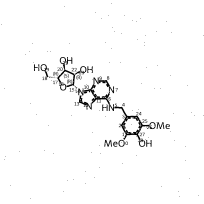 COc1cc(CNc2ncnc3c2ncn3[C@@H]2O[C@H](CO)[C@@H](O)[C@H]2O)cc(OC)c1O